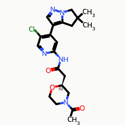 CC(=O)N1CCO[C@@H](CC(=O)Nc2cc(-c3cnn4c3CC(C)(C)C4)c(Cl)cn2)C1